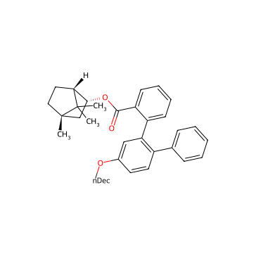 CCCCCCCCCCOc1ccc(-c2ccccc2)c(-c2ccccc2C(=O)O[C@@H]2C[C@]3(C)CC[C@H]2C3(C)C)c1